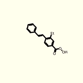 CCc1cc(C(=O)OO)ccc1C=Cc1ccccc1